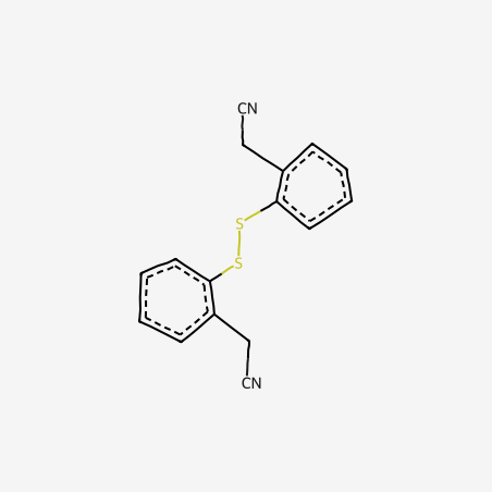 N#CCc1ccccc1SSc1ccccc1CC#N